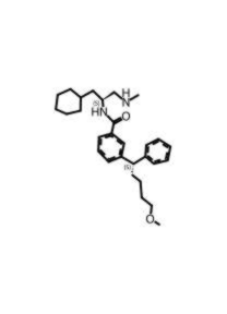 CNC[C@H](CC1CCCCC1)NC(=O)c1cccc([C@@H](CCCCOC)c2ccccc2)c1